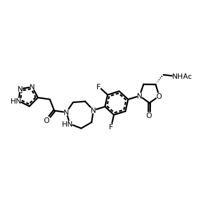 CC(=O)NC[C@H]1CN(c2cc(F)c(N3CCNN(C(=O)Cc4c[nH]nn4)CC3)c(F)c2)C(=O)O1